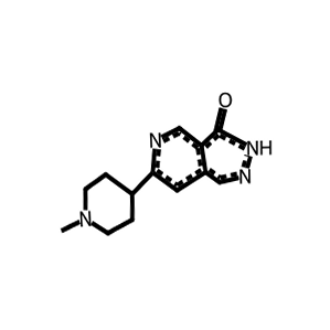 CN1CCC(c2cc3cn[nH]c(=O)c3cn2)CC1